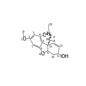 COc1cc2c3c(c1)OC1CC(O)C=C[C@@]31CCN(C)C2